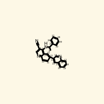 CC(Nc1c(C#N)cnc2ccc(-c3cnc4ccccc4c3)cc12)c1ccccc1